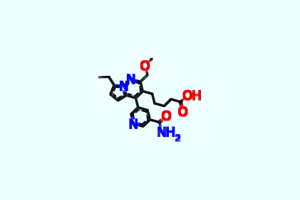 CCc1ccc2c(-c3cncc(C(N)=O)c3)c(CCCCC(=O)O)c(COC)nn12